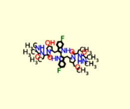 CCC(NC(=O)C(C)NC)C(=O)N1CC(O)CC1Cc1c(-c2[nH]c3cc(F)ccc3c2CC2CC(COC)CN2C(=O)C(CC)NC(=O)C(C)NC)[nH]c2cc(F)ccc12